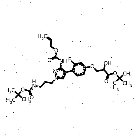 C=CCOC(=O)Nc1nn(CCCNC(=O)OC(C)(C)C)cc1-c1ccc(OCC(O)C(=O)OC(C)(C)C)cc1F